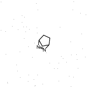 C1CC2CC1N=N2